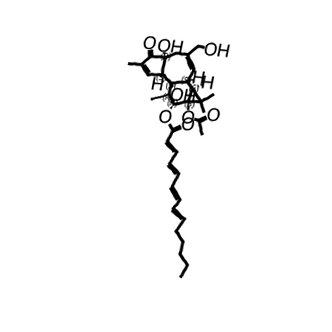 CCCCCC=CC=CC=CC=CC(=O)O[C@@H]1[C@@H](C)[C@@]2(O)[C@@H](C=C(CO)C[C@]3(O)C(=O)C(C)=C[C@@H]23)[C@H]2C(C)(C)[C@]12OC(C)=O